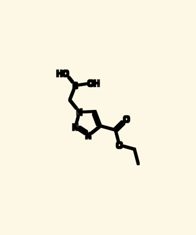 CCOC(=O)c1cn(CB(O)O)nn1